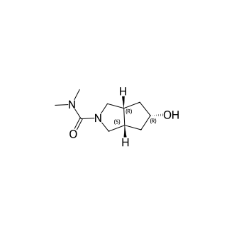 CN(C)C(=O)N1C[C@H]2C[C@@H](O)C[C@H]2C1